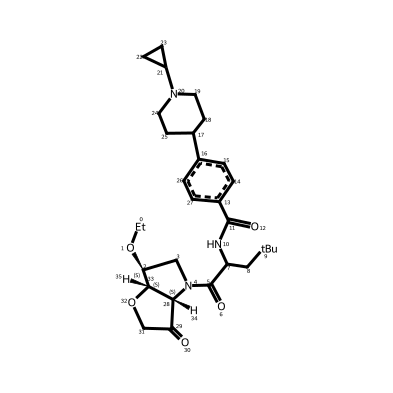 CCO[C@H]1CN(C(=O)C(CC(C)(C)C)NC(=O)c2ccc(C3CCN(C4CC4)CC3)cc2)[C@@H]2C(=O)CO[C@H]12